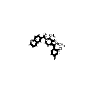 C[C@H]1c2nn(C)c(-c3ccc(F)cc3Cl)c2CCN1C(=O)c1ccc2ncccc2c1